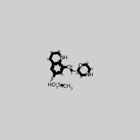 CS(=O)(=O)O.Fc1cc2c(c(OC[C@H]3CNCCO3)c1)NCCC2